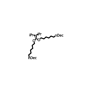 CCCCCCCCCCCCCCCCOP(OCCCCCCCCCCCCCCCC)N(C(C)C)C(C)C